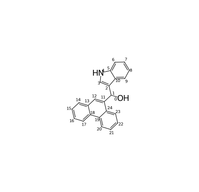 OC(c1c[nH]c2ccccc12)c1cc2ccccc2c2ccccc12